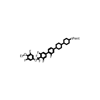 CCCCCC1CCC(C2CCC(c3ccc(-c4cc(F)c(C(F)(F)Oc5cc(F)c(OCC)c(F)c5)c(F)c4)c(F)c3)CC2)CC1